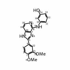 COc1ccc(-c2nc3c(Nc4cccc(O)c4)nccc3[nH]2)cc1OC